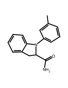 Cc1cccc(N2c3ccccc3CC2C(N)=O)c1